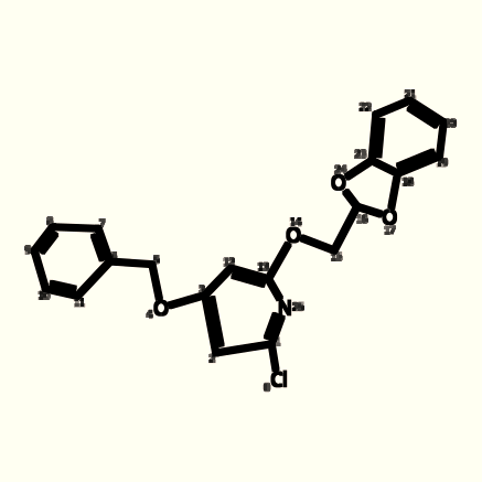 Clc1cc(OCc2ccccc2)cc(OCC2Oc3ccccc3O2)n1